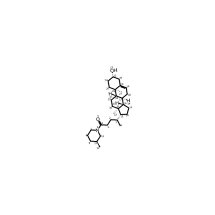 CC(CCC(=O)N1CCC[C@H](C)C1)[C@H]1CC[C@H]2[C@@H]3CC=C4C[C@@H](O)CC[C@]4(C)[C@H]3CC[C@]12C